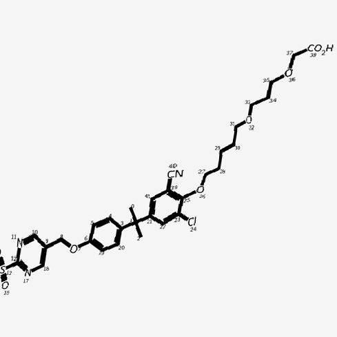 CC(C)(c1ccc(OCc2cnc(S(C)(=O)=O)nc2)cc1)c1cc(Cl)c(OCCCCCOCCCOCC(=O)O)c(C#N)c1